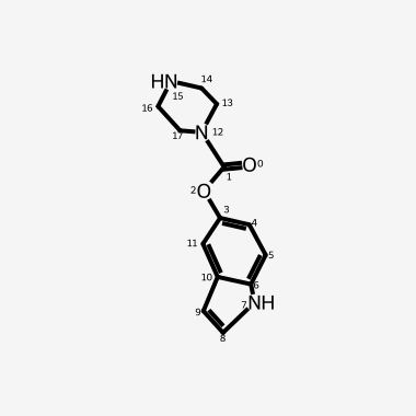 O=C(Oc1ccc2[nH]ccc2c1)N1CCNCC1